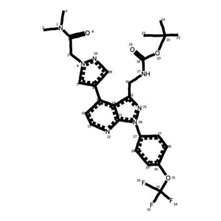 CN(C)C(=O)Cn1cc(-c2ccnc3c2c(CNC(=O)OC(C)(C)C)nn3-c2ccc(OC(F)(F)F)cc2)cn1